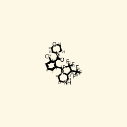 O=C(c1c(Cl)cccc1CN1CCNCC1C(C(F)(F)F)C(F)(F)F)N1CCOCC1